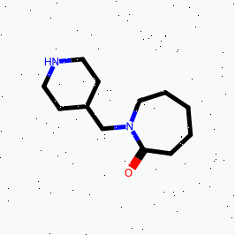 O=C1CCCCCN1CC1CCNCC1